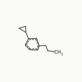 CCCc1c[c]cc(C2CC2)c1